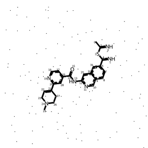 CC(=N)SC(=N)c1ccc2cnc(NC(=O)c3ccnc(C4=CCN(C)CC4)c3)cc2c1